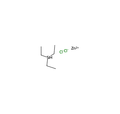 CC[SiH](CC)CC.[Cl-].[Cl-].[Zn+2]